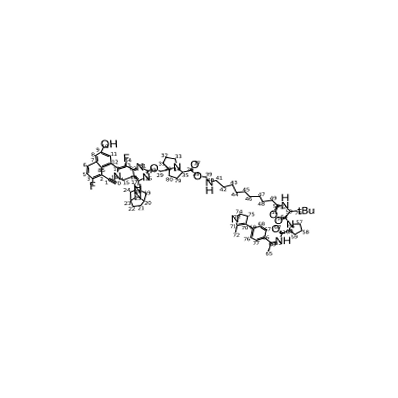 C#Cc1c(F)ccc2cc(O)cc(-c3ncc4c(N5CC6CCC(C5)N6)nc(OCC56CCCN5C(C(=O)OCNCCCCCCCCCC(=O)NC(C(=O)N5CCC[C@H]5C(=O)N[C@@H](C)c5ccc(C7=C(C)N=CC7)cc5)C(C)(C)C)CC6)nc4c3F)c12